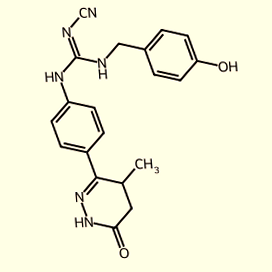 CC1CC(=O)NN=C1c1ccc(NC(=NC#N)NCc2ccc(O)cc2)cc1